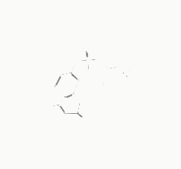 Cc1cc(=O)oc2cc(OP(=O)([O-])OCC[N+](C)(C)C)ccc12